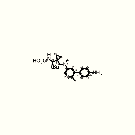 Cc1ncc(N(C)CC2(C(NC(=O)O)C(C)(C)C)CC2)cc1-c1ccc(N)cc1